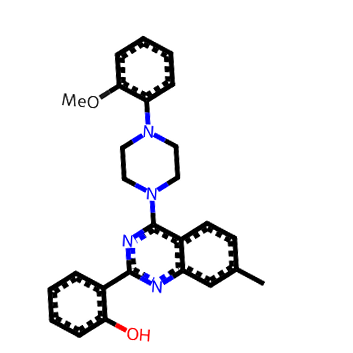 COc1ccccc1N1CCN(c2nc(-c3ccccc3O)nc3cc(C)ccc23)CC1